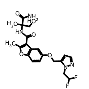 Cc1oc2ccc(OCc3ccnn3CC(F)F)cc2c1C(=O)NC(C)(CO)C(N)=O